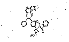 Cc1cc2ncc3cc(-c4ccccc4)c(-c4ccc([C@]5(N6C(=O)c7ccccc7C6=O)C[C@](C)(O)C5)cc4)nc3n2n1